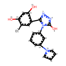 CCc1cc(-c2nnc(O)n2-c2cccc(-n3cccc3)c2)c(O)cc1O